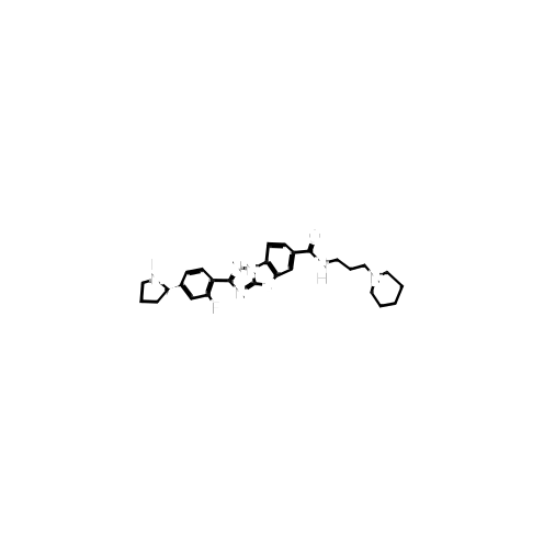 O=C(NCCCN1CCCCC1)c1ccc2c(c1)sc1nc(-c3ccc([C@H]4CCCN4)cc3F)nn12